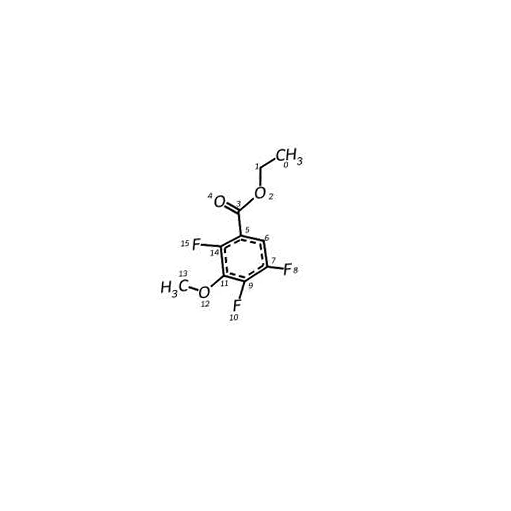 CCOC(=O)c1cc(F)c(F)c(OC)c1F